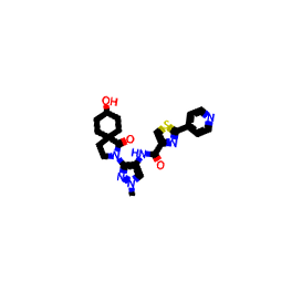 Cn1cc(NC(=O)c2csc(-c3ccncc3)n2)c(N2CCC3(CCC(O)CC3)C2=O)n1